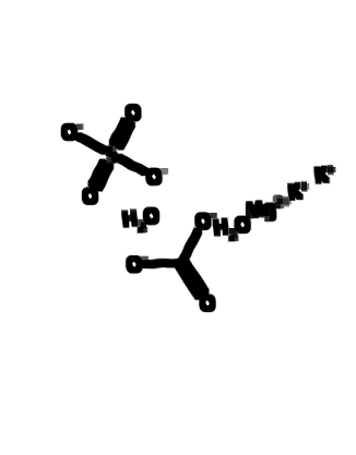 O.O.O=C([O-])[O-].O=S(=O)([O-])[O-].[K+].[K+].[Mg+2]